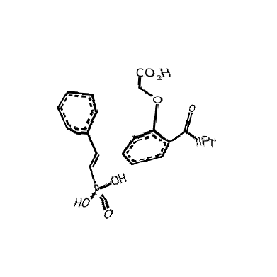 CCCC(=O)c1ccccc1OCC(=O)O.O=P(O)(O)C=Cc1ccccc1